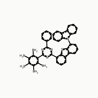 Bc1c(B)c(B)c(-c2nc(-c3ccccc3)nc(-c3cccc4c3sc3c(-n5c6ccccc6c6ccccc65)cccc34)n2)c(B)c1B